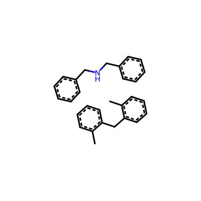 Cc1ccccc1Cc1ccccc1C.c1ccc(CNCc2ccccc2)cc1